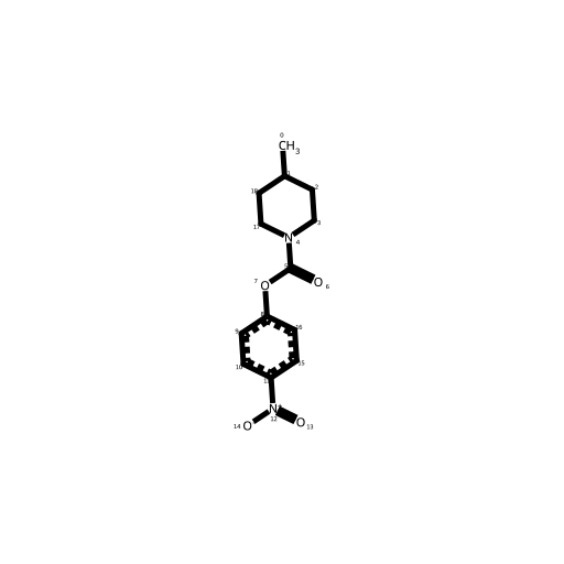 CC1CCN(C(=O)Oc2ccc([N+](=O)[O-])cc2)CC1